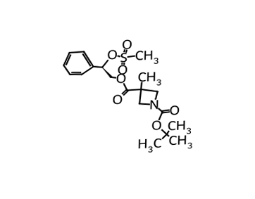 CC(C)(C)OC(=O)N1CC(C)(C(=O)OC[C@H](OS(C)(=O)=O)c2ccccc2)C1